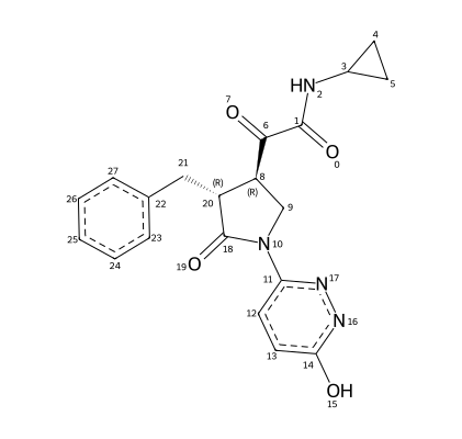 O=C(NC1CC1)C(=O)[C@H]1CN(c2ccc(O)nn2)C(=O)[C@@H]1Cc1ccccc1